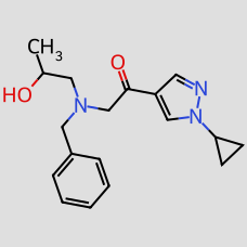 CC(O)CN(CC(=O)c1cnn(C2CC2)c1)Cc1ccccc1